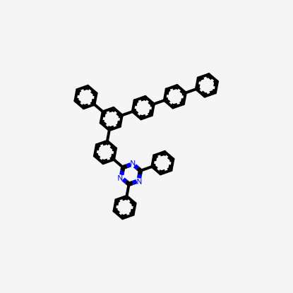 c1ccc(-c2ccc(-c3ccc(-c4cc(-c5ccccc5)cc(-c5cccc(-c6nc(-c7ccccc7)nc(-c7ccccc7)n6)c5)c4)cc3)cc2)cc1